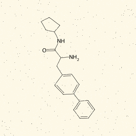 NC(Cc1ccc(-c2ccccc2)cc1)C(=O)NC1CCCC1